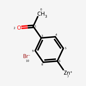 CC(=O)c1cc[c]([Zn+])cc1.[Br-]